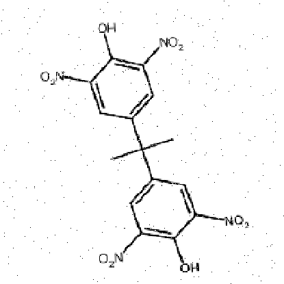 CC(C)(c1cc([N+](=O)[O-])c(O)c([N+](=O)[O-])c1)c1cc([N+](=O)[O-])c(O)c([N+](=O)[O-])c1